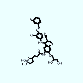 N#Cc1cnc2cc(OCC(O)CO)c(NC(=O)CCC3CCS(O)(O)S3)cc2c1Nc1ccc(OCc2cccc(F)c2)c(Cl)c1